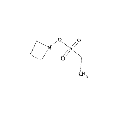 CCS(=O)(=O)ON1CCC1